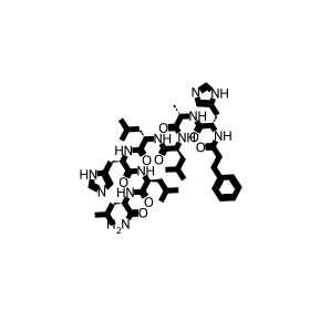 CC(C)C[C@H](NC(=O)[C@H](CC(C)C)NC(=O)[C@H](Cc1cnc[nH]1)NC(=O)[C@H](CC(C)C)NC(=O)[C@H](CC(C)C)NC(=O)[C@H](C)NC(=O)[C@H](Cc1cnc[nH]1)NC(=O)CCc1ccccc1)C(N)=O